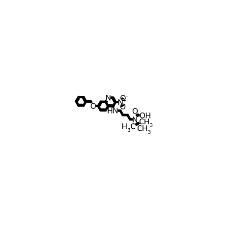 CC(C)(C)N(CCCCNc1c([N+](=O)[O-])cnc2cc(OCc3ccccc3)ccc12)C(=O)O